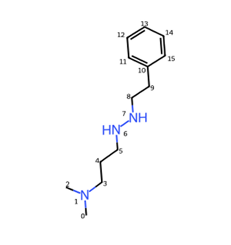 CN(C)CCCNNCCc1ccccc1